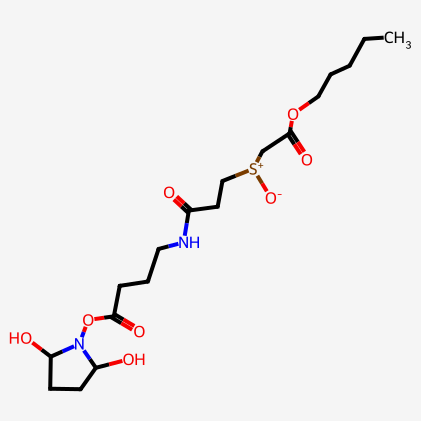 CCCCCOC(=O)C[S+]([O-])CCC(=O)NCCCC(=O)ON1C(O)CCC1O